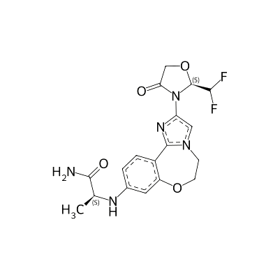 C[C@H](Nc1ccc2c(c1)OCCn1cc(N3C(=O)CO[C@H]3C(F)F)nc1-2)C(N)=O